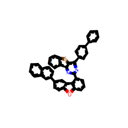 c1ccc(-c2ccc(-c3nc(-c4cccc5oc6ccc(-c7ccc8ccccc8c7)cc6c45)nc4c3sc3ccccc34)cc2)cc1